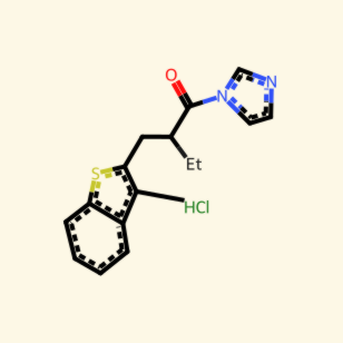 CCC(Cc1sc2ccccc2c1C)C(=O)n1ccnc1.Cl